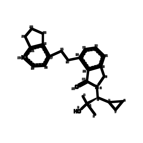 CC(C)(O)[C@@H](C1CC1)N1Cc2cccc(CCc3ccnc4c3CCC4)c2C1=O